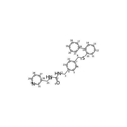 O=C(NCc1ccc(CSc2ccccc2-c2ccccc2)cc1)NCc1cccnc1